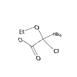 CCCCC(Cl)(OCC)C(=O)Cl